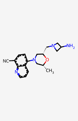 C[C@@H]1CN(c2ccc(C#N)c3ncccc23)C[C@H](CN2CC(N)C2)O1